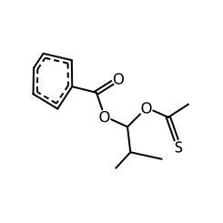 CC(=S)OC(OC(=O)c1ccccc1)C(C)C